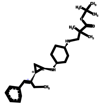 CC/C(=C\c1ccccc1)[C@@H]1C[C@H]1N[C@H]1CC[C@@H](NCC(C)(C)C(=O)OC(C)(C)C)CC1